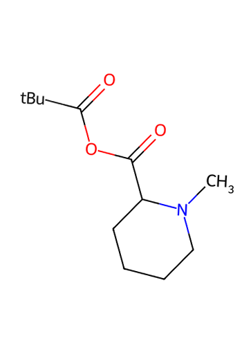 CN1CCCCC1C(=O)OC(=O)C(C)(C)C